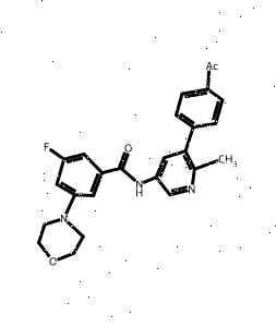 CC(=O)c1ccc(-c2cc(NC(=O)c3cc(F)cc(N4CCOCC4)c3)cnc2C)cc1